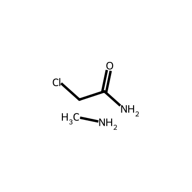 CN.NC(=O)CCl